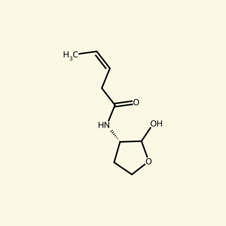 C/C=C\CC(=O)N[C@H]1CCOC1O